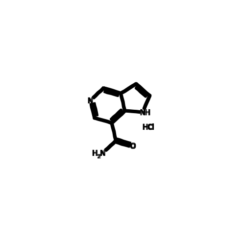 Cl.NC(=O)c1cncc2cc[nH]c12